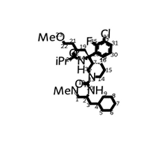 CNCC(CC1CCCCC1)NC(=O)N1CCC[C@@H]([C@](CCCCOC)(NC(=O)C(C)C)c2cccc(Cl)c2F)C1